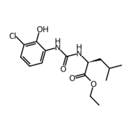 CCOC(=O)[C@H](CC(C)C)NC(=O)Nc1cccc(Cl)c1O